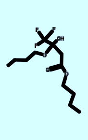 CCCCOC(=O)CC(O)(OCCCC)C(F)(F)F